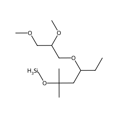 CCC(CC(C)(C)O[SiH3])OCC(COC)OC